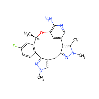 C[C@H]1Oc2cc(cnc2N)-c2c(nn(C)c2C#N)Cc2cn(C)nc2-c2ccc(F)cc21